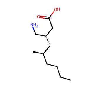 CCCC[C@@H](C)C[C@H](CN)CC(=O)O